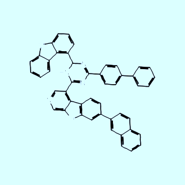 c1ccc(-c2ccc(C3=NC(c4cccc5oc6ccccc6c45)NC(c4cncc5oc6cc(-c7ccc8ccccc8c7)ccc6c45)=N3)cc2)cc1